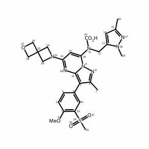 COc1ccc(-c2c(C)nn3c(N(Cc4cc(C)nn4C)C(=O)O)cc(N4CC5(COC5)C4)nc23)cc1S(C)(=O)=O